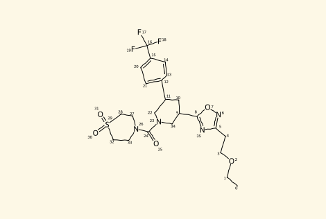 CCOCCc1noc(C2CC(c3ccc(C(F)(F)F)cc3)CN(C(=O)N3CCS(=O)(=O)CC3)C2)n1